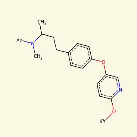 CC(=O)N(C)C(C)CCc1ccc(Oc2ccc(OC(C)C)nc2)cc1